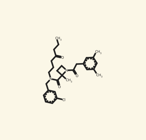 CCCC(=O)CCCN(Cc1cccc(Cl)c1)C(=O)C1(C)CCN1C(=O)Cc1cc(C)cc(C)c1